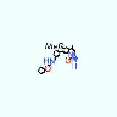 COc1cc2c(C)cc3n[nH]c(=O)n3c2cc1-c1cccc(CNCCOc2ccccc2)c1